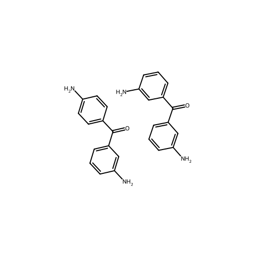 Nc1ccc(C(=O)c2cccc(N)c2)cc1.Nc1cccc(C(=O)c2cccc(N)c2)c1